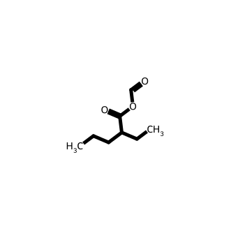 CCCC(CC)C(=O)OC=O